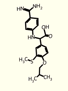 CSc1cc(C(Nc2ccc(C(=N)N)cc2)C(=O)O)ccc1OCC(C)C